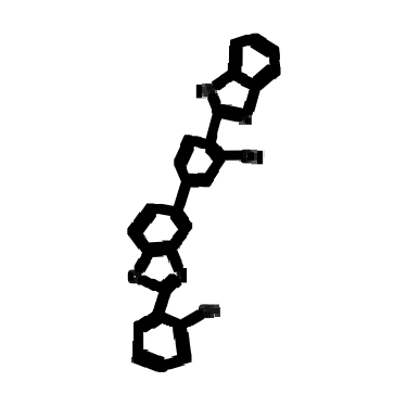 Oc1cc(-c2ccc3oc(-c4ccccc4O)nc3c2)ccc1-c1nc2ccccc2[nH]1